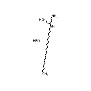 CCCCCCCCCCCCCCCCCCNC(CCN)CCO.F.F